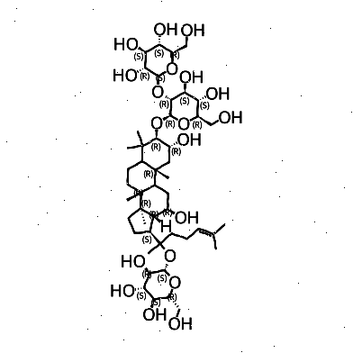 CC(C)=CCCC(C)(O[C@@H]1O[C@H](CO)[C@@H](O)[C@H](O)[C@H]1O)[C@H]1CC[C@]2(C)[C@@H]1[C@H](O)CC1[C@@]3(C)C[C@@H](O)[C@H](O[C@@H]4O[C@H](CO)[C@@H](O)[C@H](O)[C@H]4O[C@@H]4O[C@H](CO)[C@@H](O)[C@H](O)[C@H]4O)C(C)(C)C3CC[C@]12C